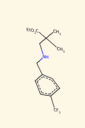 CCOC(=O)C(C)(C)CNCc1ccc(C(F)(F)F)cc1